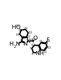 Nc1nn(C(=O)[C@H]2CCNc3ccc(F)cc32)c2c1C[C@H](O)CC2